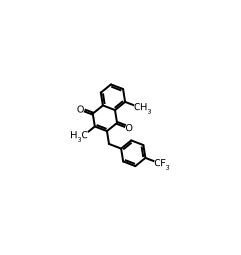 CC1=C(Cc2ccc(C(F)(F)F)cc2)C(=O)c2c(C)cccc2C1=O